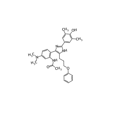 CC(=O)Nc1cc(N(C)C)ccc1-c1nc(-c2cc(C)c(O)c(C)c2)[nH]c1CCCOc1ccccc1